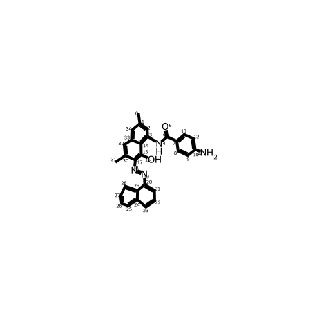 Cc1cc(NC(=O)c2ccc(N)cc2)c2c(O)c(N=Nc3cccc4ccccc34)c(C)cc2c1